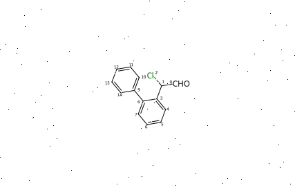 O=CC(Cl)c1ccccc1-c1ccccc1